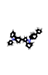 C1=CC2C3=CC(c4ccc5c(c4)C4C=CCCC4N5c4ccc(-c5ccccc5)cc4)CC=C3N(c3ccccc3)C2C=C1